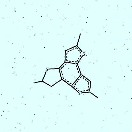 Cc1cc2c(s1)c1c(c3cc(C)sc32)SC(C)C1